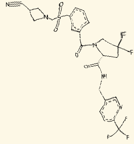 N#CC1CN(S(=O)(=O)c2cccc(C(=O)N3CC(F)(F)C[C@@H]3C(=O)NCc3ccc(C(F)(F)F)nc3)c2)C1